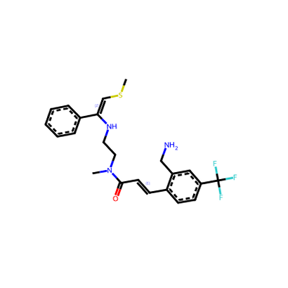 CS/C=C(\NCCN(C)C(=O)/C=C/c1ccc(C(F)(F)F)cc1CN)c1ccccc1